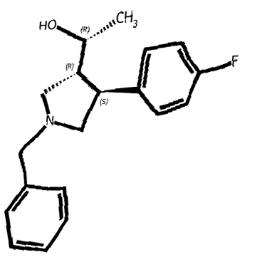 C[C@@H](O)[C@H]1CN(Cc2ccccc2)C[C@@H]1c1ccc(F)cc1